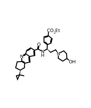 CCOC(=O)c1ccc([C@@H](CCN2CCC(O)CC2)NC(=O)c2ccc3nc4c(cc3c2)C[C@@H](C2(C)CC2)CC4)cc1